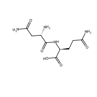 NC(=O)CC[C@H](NC(=O)[C@@H](N)CC(N)=O)C(=O)O